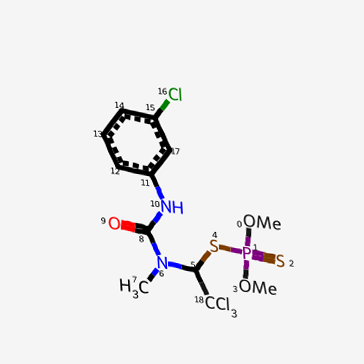 COP(=S)(OC)SC(N(C)C(=O)Nc1cccc(Cl)c1)C(Cl)(Cl)Cl